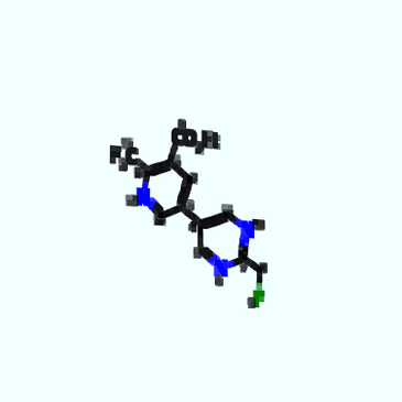 CCOC(=O)c1cc(-c2cnc(CF)nc2)cnc1C(F)(F)F